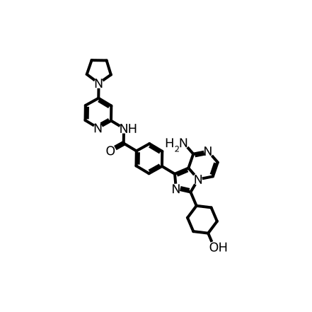 Nc1nccn2c(C3CCC(O)CC3)nc(-c3ccc(C(=O)Nc4cc(N5CCCC5)ccn4)cc3)c12